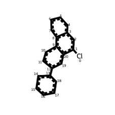 Clc1cc2ccccc2c2ccc(-c3ccccc3)cc12